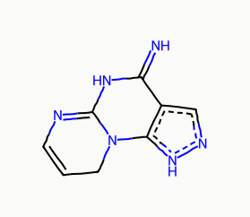 N=C1NC2=NC=CCN2c2[nH]ncc21